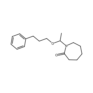 CC(OCCCc1ccccc1)N1CCCCCC1=O